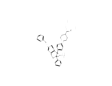 COC(OC)C1CCN(c2ccc(C3(O)c4ccc(OCc5ccccc5)cc4CCC3(C)c3ccccc3)cc2)CC1